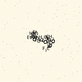 CCNC(=O)C(COCC(=O)OCc1ccc(NC(=O)c2ccccc2-c2ccc(C(F)(F)F)cc2)c(C(=O)N(C)C)c1)(C(=O)NCC)c1ccccc1